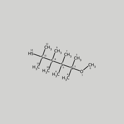 CO[Si](C)(C)S(C)(C)S(C)(C)S(C)(C)S